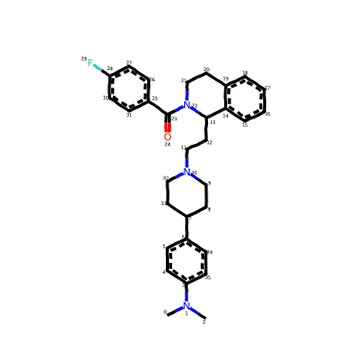 CN(C)c1ccc(C2CCN(CCC3c4ccccc4CCN3C(=O)c3ccc(F)cc3)CC2)cc1